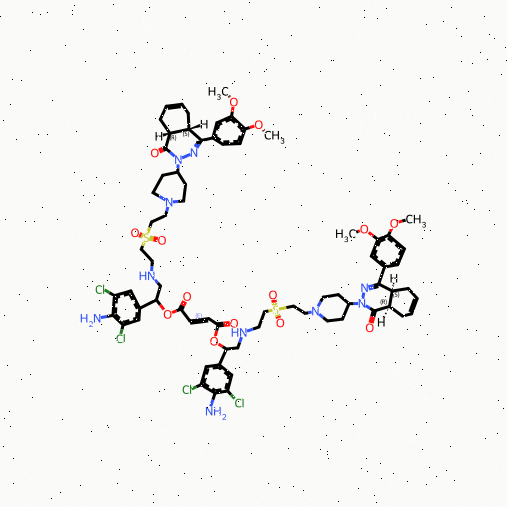 COc1ccc(C2=NN(C3CCN(CCS(=O)(=O)CCNCC(OC(=O)/C=C/C(=O)OC(CNCCS(=O)(=O)CCN4CCC(N5N=C(c6ccc(OC)c(OC)c6)[C@H]6CC=CC[C@H]6C5=O)CC4)c4cc(Cl)c(N)c(Cl)c4)c4cc(Cl)c(N)c(Cl)c4)CC3)C(=O)[C@@H]3CC=CC[C@H]23)cc1OC